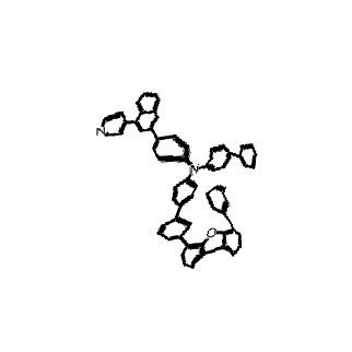 c1ccc(-c2ccc(N(c3ccc(-c4cccc(-c5cccc6c5oc5c(-c7ccccc7)cccc56)c4)cc3)c3ccc(-c4cc(-c5ccncc5)c5ccccc5c4)cc3)cc2)cc1